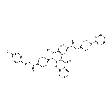 CC(C)Oc1ccc(C(=O)CN2CCN(c3cccnn3)CC2)cc1-n1c(CN2CCN(C(=O)COc3ccc(Cl)cc3)CC2)nc2ccccc2c1=O